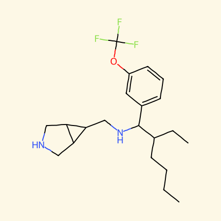 CCCCC(CC)C(NCC1C2CNCC21)c1cccc(OC(F)(F)F)c1